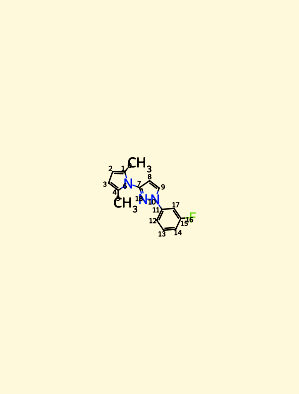 Cc1ccc(C)n1-c1ccn(-c2cccc(F)c2)n1